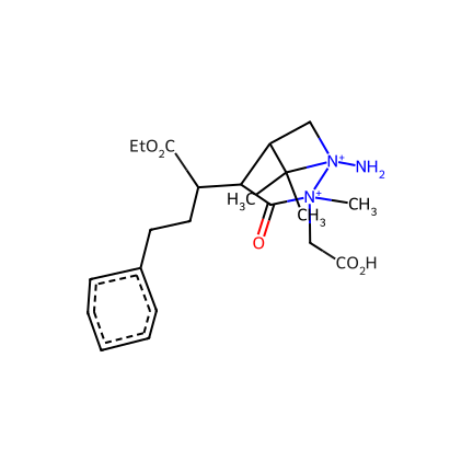 CCOC(=O)C(CCc1ccccc1)C1C(=O)[N+](C)(CC(=O)O)[N+]2(N)CC1C2(C)C